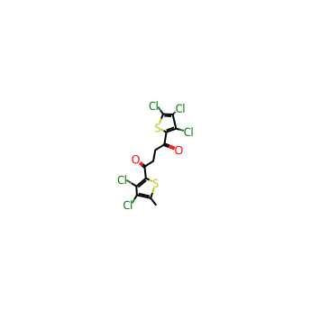 Cc1sc(C(=O)CCC(=O)c2sc(Cl)c(Cl)c2Cl)c(Cl)c1Cl